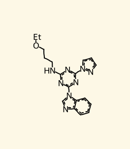 CCOCCCNc1nc(-n2cccn2)nc(-n2cnc3ccccc32)n1